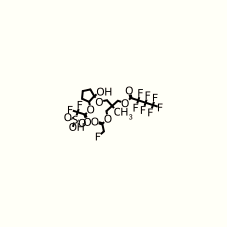 CC(COC(=O)CF)(COC(=O)C(F)(F)C(F)(F)C(F)(F)F)COC1(O)CCCC1OC(=O)C(F)(F)S(=O)(=O)O